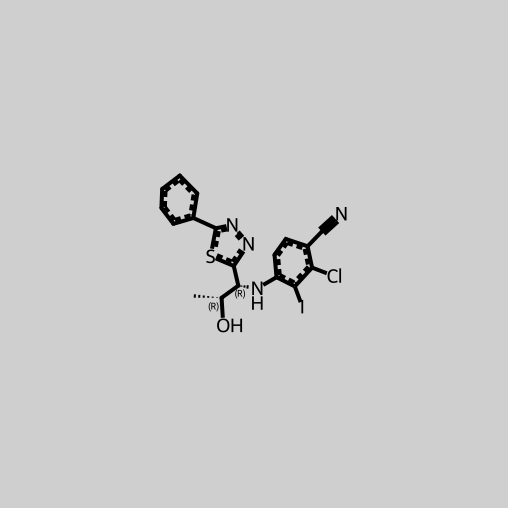 C[C@@H](O)[C@@H](Nc1ccc(C#N)c(Cl)c1I)c1nnc(-c2ccccc2)s1